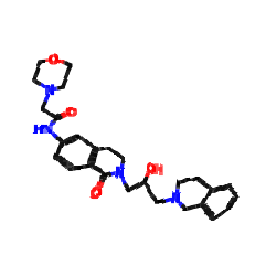 O=C(CN1CCOCC1)Nc1ccc2c(c1)CCN(CC(O)CN1CCc3ccccc3C1)C2=O